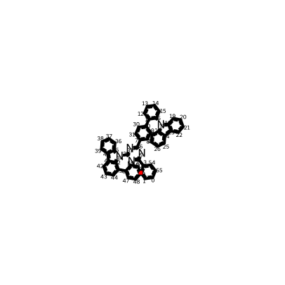 c1ccc(-c2nc(-c3ccc(-c4ccccc4-n4c5ccccc5c5ccccc54)cc3)nc(-n3c4ccccc4c4cccc(-c5ccccc5)c43)n2)cc1